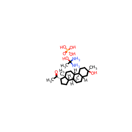 CC(=O)[C@H]1CC[C@H]2[C@@H]3CC[C@H]4C[C@](C)(O)CC[C@]4(C)[C@H]3CC[C@]12C.CC(N)(N)O.O=P(O)(O)O